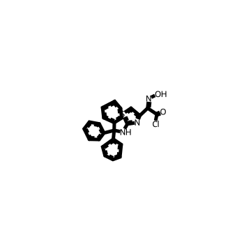 O=C(Cl)/C(=N\O)c1csc(NC(c2ccccc2)(c2ccccc2)c2ccccc2)n1